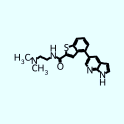 CN(C)CCNC(=O)c1cc2c(-c3cnc4[nH]ccc4c3)cccc2s1